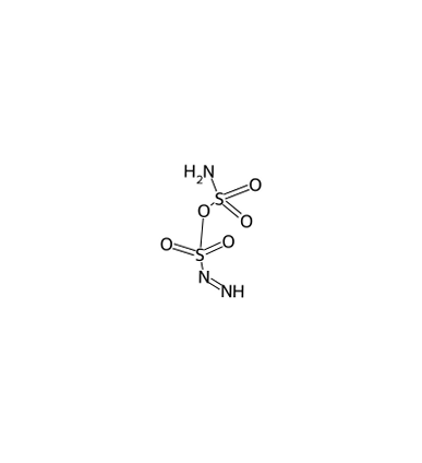 N=NS(=O)(=O)OS(N)(=O)=O